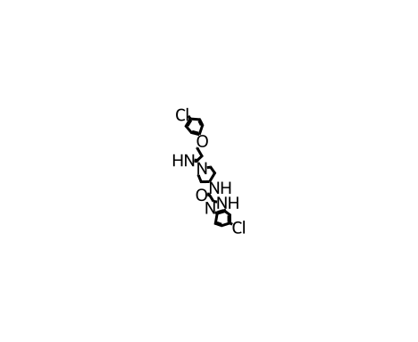 N=C(CCOc1ccc(Cl)cc1)N1CCC(NC(=O)c2nc3ccc(Cl)cc3[nH]2)CC1